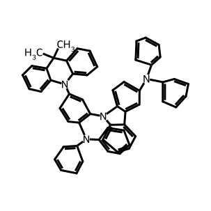 CC1(C)c2ccccc2N(c2ccc(N(c3ccccc3)c3ccccc3)c(-n3c4ccccc4c4cc(N(c5ccccc5)c5ccccc5)ccc43)c2)c2ccccc21